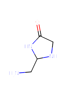 NCC1NCC(=O)N1